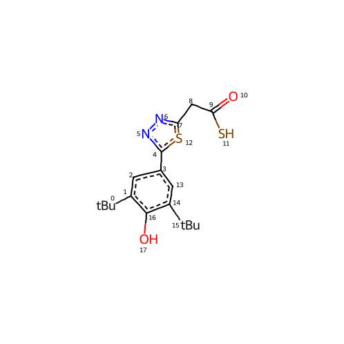 CC(C)(C)c1cc(-c2nnc(CC(=O)S)s2)cc(C(C)(C)C)c1O